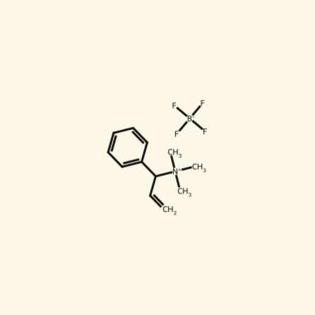 C=CC(c1ccccc1)[N+](C)(C)C.F[B-](F)(F)F